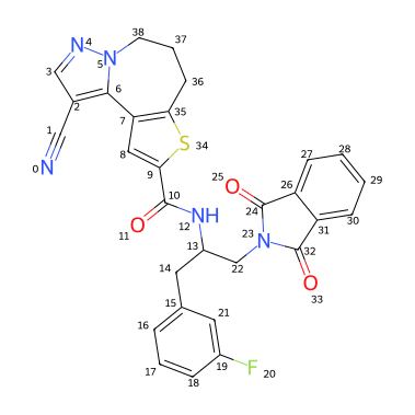 N#Cc1cnn2c1-c1cc(C(=O)NC(Cc3cccc(F)c3)CN3C(=O)c4ccccc4C3=O)sc1CCC2